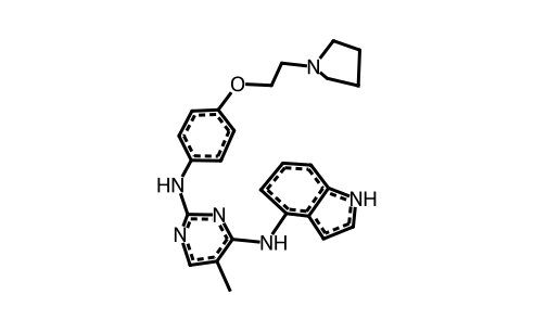 Cc1cnc(Nc2ccc(OCCN3CCCC3)cc2)nc1Nc1cccc2[nH]ccc12